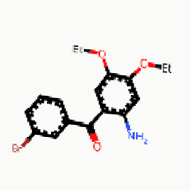 CCOc1cc(N)c(C(=O)c2cccc(Br)c2)cc1OCC